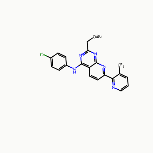 CC(C)COCc1nc(Nc2ccc(Cl)cc2)c2ccc(-c3ncccc3C(F)(F)F)nc2n1